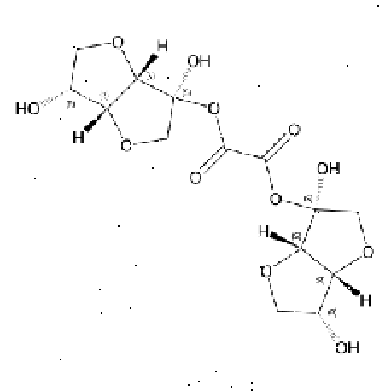 O=C(O[C@@]1(O)CO[C@@H]2[C@H](O)CO[C@@H]21)C(=O)O[C@@]1(O)CO[C@@H]2[C@H](O)CO[C@@H]21